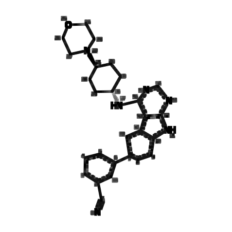 N#Cc1cccc(-c2ccc3[nH]c4ncnc(N[C@H]5CC[C@H](N6CCOCC6)CC5)c4c3c2)c1